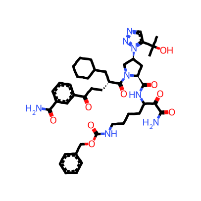 CC(C)(O)c1cnnn1[C@H]1C[C@@H](C(=O)NC(CCCCNC(=O)OCc2ccccc2)C(=O)C(N)=O)N(C(=O)[C@H](CCC(=O)c2cccc(C(N)=O)c2)CC2CCCCC2)C1